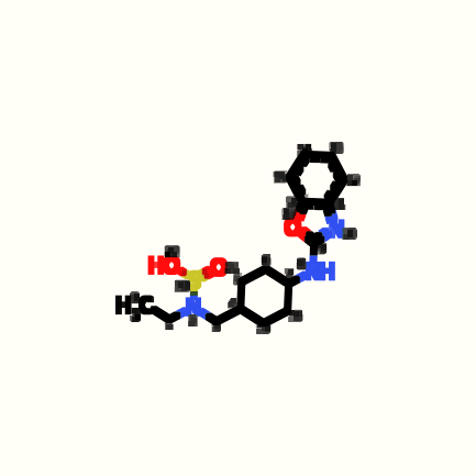 CCN(CC1CCC(Nc2nc3ccccc3o2)CC1)S(=O)O